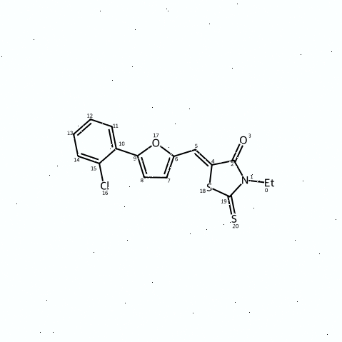 CCN1C(=O)C(=Cc2ccc(-c3ccccc3Cl)o2)SC1=S